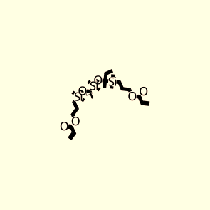 C=CC(=O)OCCC[Si](C)(C)O[C@H](C)[Si](C)(C)OC(C)(CC)[Si](C)(C)CCCOC(=O)C=C